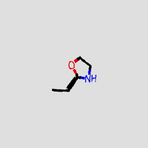 CC=C1NCCO1